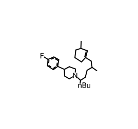 CCCCC(CCC(C)CC1=CC(C)CCC1)N1CCC(c2ccc(F)cc2)CC1